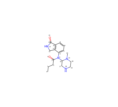 CCCC(=O)N(c1cccc2c1CNC2=O)C1CNCCN1C